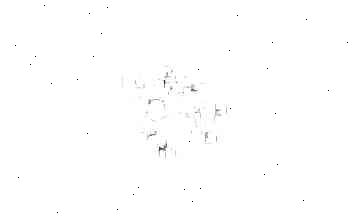 CCOP(=O)(Cl)OCC.CCOP(=O)(OCC)Oc1ccc(C(=O)OC(C)(C)C)cc1C(C)O